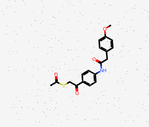 COc1ccc(CC(=O)Nc2ccc(C(=O)CSC(C)=O)cc2)cc1